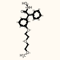 COCCOCCOc1cccc(C(C(=O)NO)c2ccccc2)c1